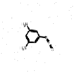 Nc1cc(N)cc(N=C=O)c1